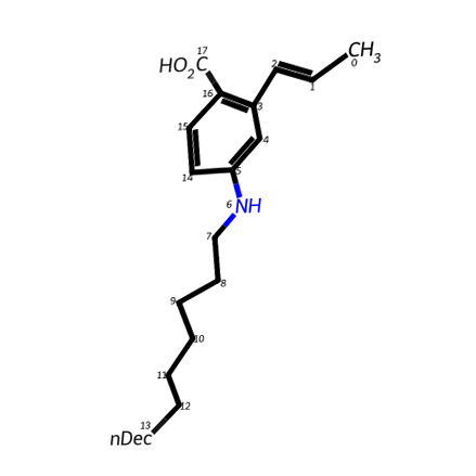 CC=Cc1cc(NCCCCCCCCCCCCCCCC)ccc1C(=O)O